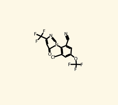 N#Cc1cc(OC(F)(F)F)cc(Cl)c1-n1cnc(C(F)(F)F)cc1=O